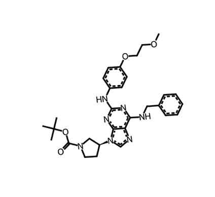 COCCOc1ccc(Nc2nc(NCc3ccccc3)c3ncn([C@H]4CCN(C(=O)OC(C)(C)C)C4)c3n2)cc1